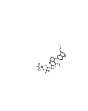 COc1nc(N[C@@H]2CCN(S(C)(=O)=O)CC2(F)F)nn2ccc(-c3ccc4ncn(CCF)c4c3)c12